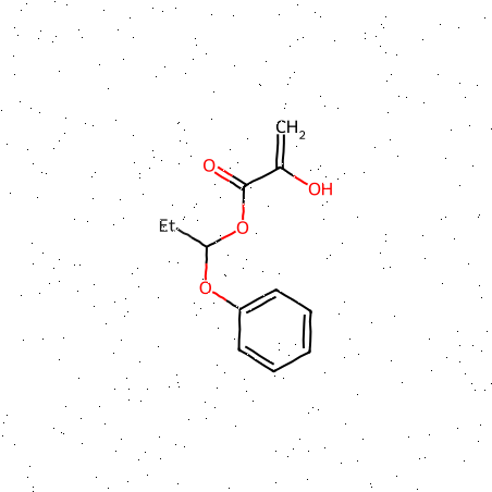 C=C(O)C(=O)OC(CC)Oc1ccccc1